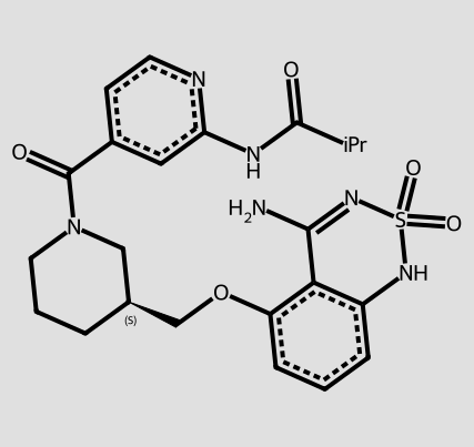 CC(C)C(=O)Nc1cc(C(=O)N2CCC[C@H](COc3cccc4c3C(N)=NS(=O)(=O)N4)C2)ccn1